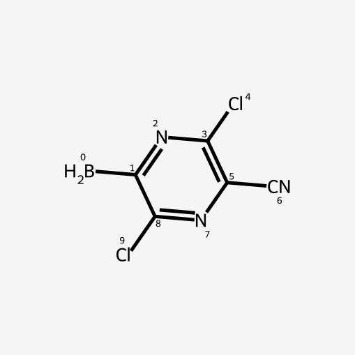 Bc1nc(Cl)c(C#N)nc1Cl